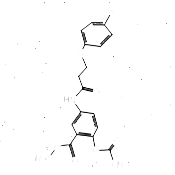 COC(=O)c1cc(NC(=O)CCOc2ccc(F)cc2)ccc1OC(C)=O